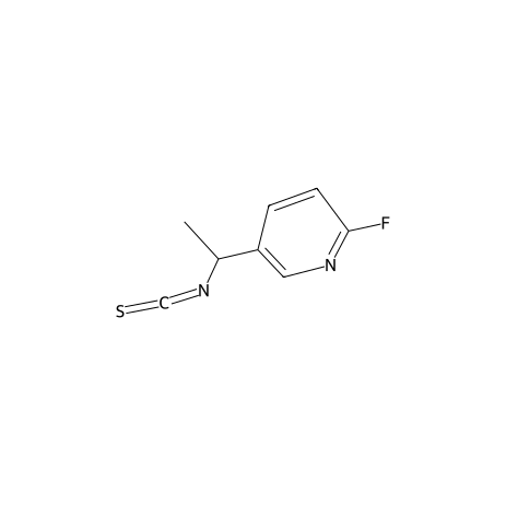 CC(N=C=S)c1ccc(F)nc1